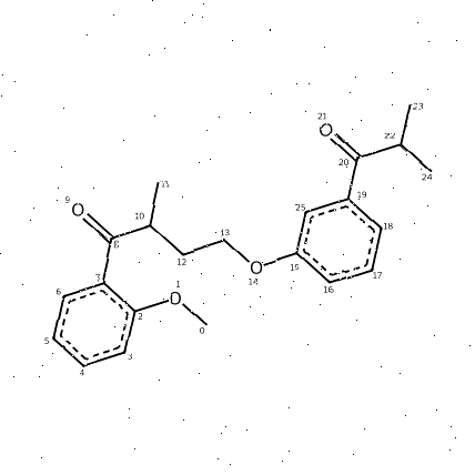 COc1ccccc1C(=O)C(C)CCOc1cccc(C(=O)C(C)C)c1